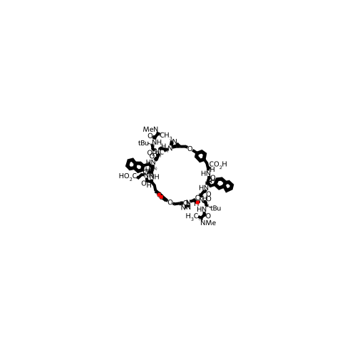 CN[C@@H](C)C(=O)N[C@H](C(=O)N1C[C@@H]2C[C@H]1C(=O)N[C@@H](Cc1ccc3ccccc3c1)C(=O)N[C@H](C(=O)O)Cc1ccc(cc1)OCc1cn(cn1)[C@H]1C[C@@H](C(=O)N[C@@H](Cc3ccc4ccccc4c3)C(=O)N[C@H](C(=O)NCCC(=O)O)Cc3ccc(cc3)OCc3cn2nn3)N(C(=O)[C@@H](NC(=O)[C@H](C)NC)C(C)(C)C)C1)C(C)(C)C